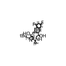 CC(C)(C)Cc1nc(C2(NCC(O)C(Cc3cc(F)cc(F)c3)N(C(=O)O)C(C)(C)C)CC2)cs1